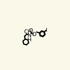 C[C@@H](CC1CCCCC1)NC(=O)OCc1cccc(I)c1